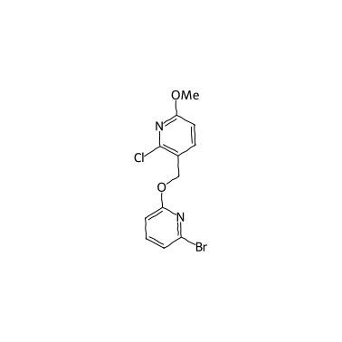 COc1ccc(COc2cccc(Br)n2)c(Cl)n1